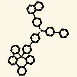 c1ccc(-c2ccc(N(c3ccc(-c4ccc(C5(c6ccccc6)c6ccccc6-c6ccccc6-c6ccccc65)cc4)cc3)c3ccc(-c4cccc5ccccc45)cc3)cc2)cc1